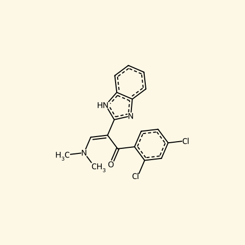 CN(C)C=C(C(=O)c1ccc(Cl)cc1Cl)c1nc2ccccc2[nH]1